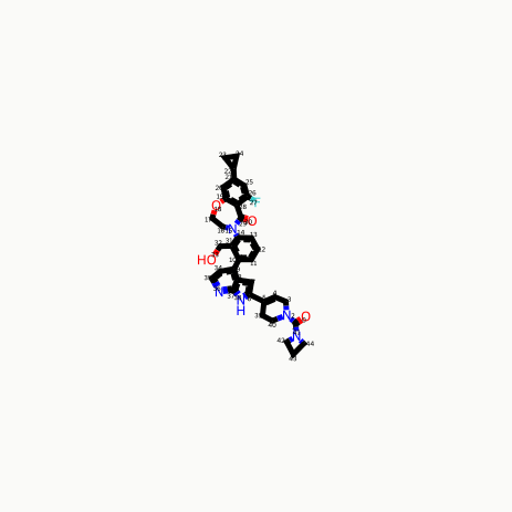 O=C(N1CC=C(c2cc3c(-c4cccc(N5CCOc6cc(C7CC7)cc(F)c6C5=O)c4CO)ccnc3[nH]2)CC1)N1CCC1